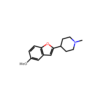 COc1ccc2oc(C3CCN(C)CC3)cc2c1